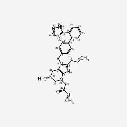 CCCc1nc2c(n1Cc1ccc(-c3ccccc3-c3nnn[nH]3)cc1)CN(C)CN2CC(=O)OC